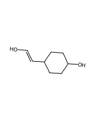 OC=CC1CCC(O)CC1